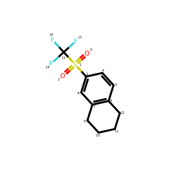 O=S(=O)(c1ccc2c(c1)[CH]CCC2)C(F)(F)F